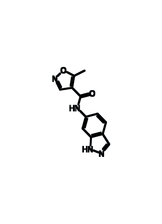 Cc1oncc1C(=O)Nc1ccc2cn[nH]c2c1